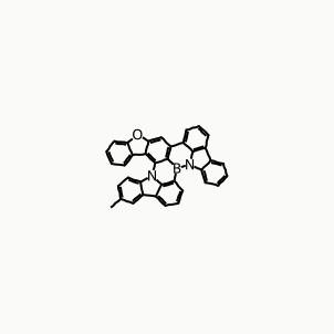 Cc1ccc2c(c1)c1cccc3c1n2-c1c2c(cc4oc5ccccc5c14)-c1cccc4c5ccccc5n(c14)B23